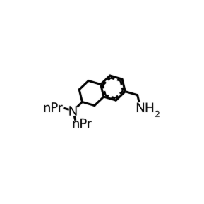 CCCN(CCC)C1CCc2ccc(CN)cc2C1